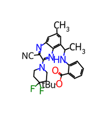 Cc1cc(C(C)Nc2ccccc2C(=O)OC(C)(C)C)c2nc(N3CCC(F)(F)CC3)c(C#N)nc2c1